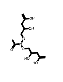 C=C(O)CC(O)CON(OCC(O)CC(=C)O)C(C)=O